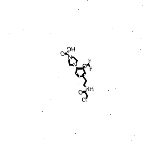 O=C(CCl)NCCc1ccc(N2CCN(C(=O)O)CC2)c(OC(F)F)c1